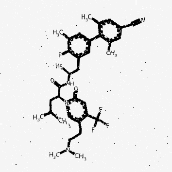 Cc1cc(-c2c(C)cc(C#N)cc2C)cc(CC(S)NC(=O)C(CC(C)C)n2cc(CCN(C)C)c(C(F)(F)F)cc2=O)c1F